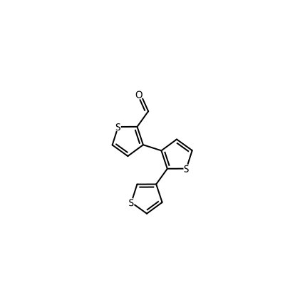 O=Cc1sccc1-c1ccsc1-c1ccsc1